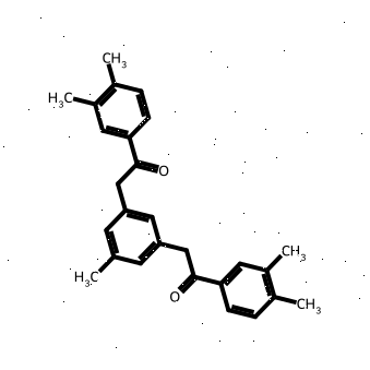 Cc1cc(CC(=O)c2ccc(C)c(C)c2)cc(CC(=O)c2ccc(C)c(C)c2)c1